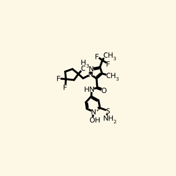 Cc1c(C(C)(F)F)nn(CC2(C)CCC(F)(F)C2)c1C(=O)Nc1cc[n+](O)c(SN)c1